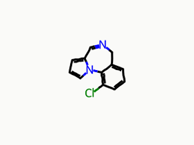 Clc1cccc2c1-n1cccc1C=NC2